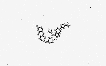 Fc1cc(Cl)ccc1Cc1cccc(OC2CCN(Cc3nc4cc(-c5noc(C(F)(F)F)n5)ccc4n3C[C@@H]3CCO3)CC2)n1